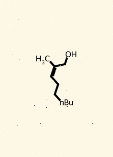 CCCCCCC=C(C)CO